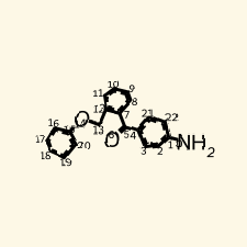 Nc1ccc(C(=O)c2ccccc2COc2ccccc2)cc1